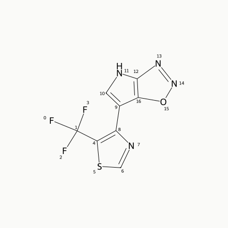 FC(F)(F)c1scnc1-c1c[nH]c2nnoc12